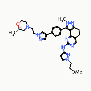 COCCn1ccc(Nc2ncc3c(n2)-c2c(nn(C)c2-c2ccc(-c4cnn(CCN5CCO[C@@H](C)C5)c4)cc2)CC3)n1